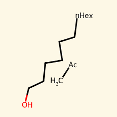 CC(C)=O.CCCCCCCCCCCCO